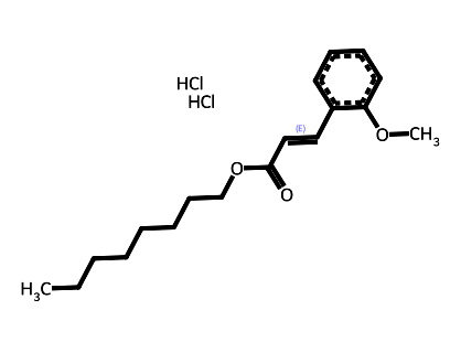 CCCCCCCCOC(=O)/C=C/c1ccccc1OC.Cl.Cl